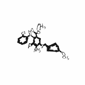 COC(=O)c1cc(SCc2ccc(OC)cc2)c(N)c(F)c1Nc1ccccc1Cl